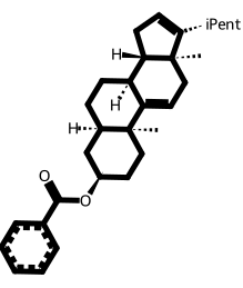 CCC[C@@H](C)C1=CC[C@H]2[C@@H]3CC[C@@H]4C[C@H](OC(=O)c5ccccc5)CC[C@]4(C)C3=CC[C@]12C